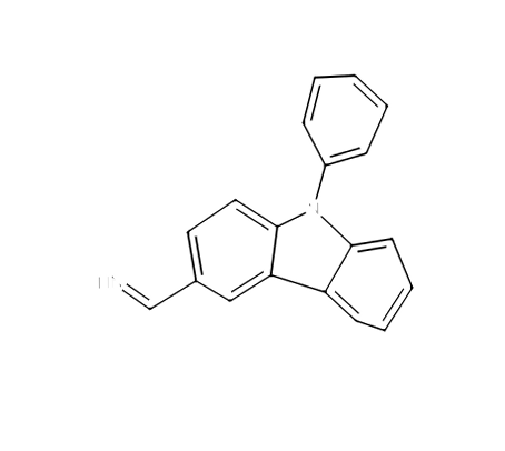 N=Cc1ccc2c(c1)c1ccccc1n2-c1ccccc1